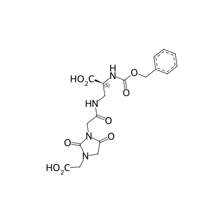 O=C(O)CN1CC(=O)N(CC(=O)NC[C@H](NC(=O)OCc2ccccc2)C(=O)O)C1=O